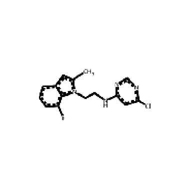 Cc1cc2cccc(F)c2n1CCNc1cc(Cl)ncn1